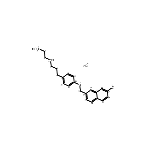 Cl.O=C(O)CCNCCCc1ccc(OCc2ccc3ccc(Cl)cc3n2)cc1